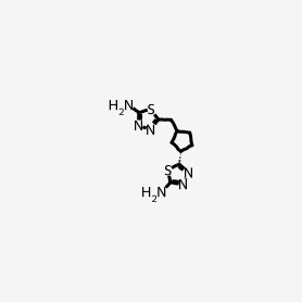 Nc1nnc(CC2CC[C@H](c3nnc(N)s3)C2)s1